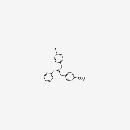 O=C(O)c1ccc(CN(Cc2ccccc2)Cc2ccc(F)cc2)cc1